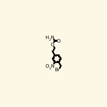 NC(=O)OCCc1ccc(CBr)c([N+](=O)[O-])c1